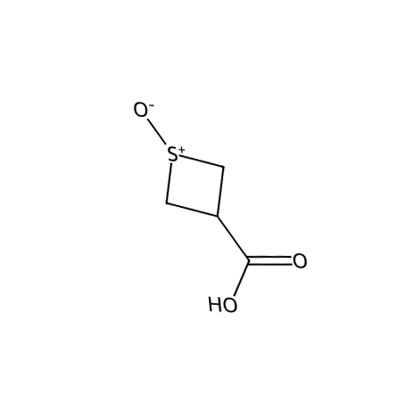 O=C(O)C1C[S+]([O-])C1